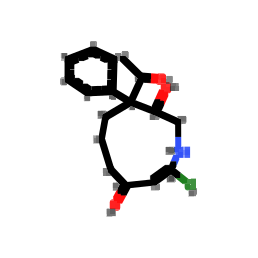 CC(=O)C1(c2ccccc2)CCCC(=O)C=C(Cl)NCC1=O